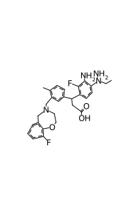 CCN(N)c1ccc(C(CC(=O)O)c2ccc(C)c(CN3CCOc4c(F)cccc4C3)c2)c(F)c1N